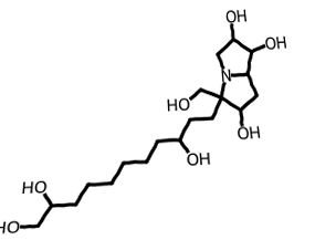 OCC(O)CCCCCCC(O)CCC1(CO)C(O)CC2C(O)C(O)CN21